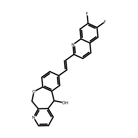 OC1c2cc(/C=C/c3ccc4cc(F)c(F)cc4n3)ccc2OCc2ncccc21